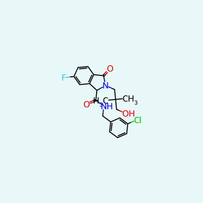 CC(C)(CO)CN1C(=O)c2ccc(F)cc2C1C(=O)NCc1cccc(Cl)c1